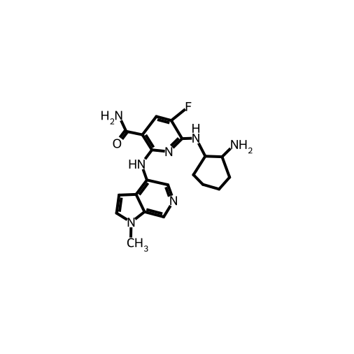 Cn1ccc2c(Nc3nc(NC4CCCCC4N)c(F)cc3C(N)=O)cncc21